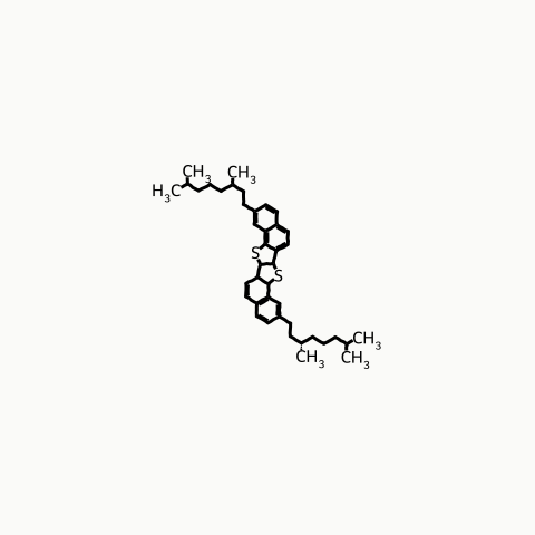 CC(C)CCCC(C)CCc1ccc2ccc3c(c2c1)SC1C3SC2c3cc(CC[C@@H](C)CCCC(C)C)ccc3C=CC21